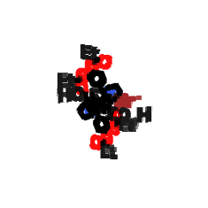 CCC(=O)Oc1ccc(C[N+]2(C)C3CCC2CC(C(CCC(=O)O)(C(=O)O)C2CC4CCC(C2)[N+]4(C)Cc2ccc(OC(=O)CC)c(OC(=O)CC)c2)C3)cc1OC(=O)CC.[Br-].[Br-]